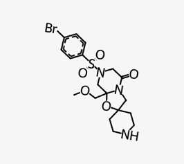 COCC12CN(S(=O)(=O)c3ccc(Br)cc3)CC(=O)N1CC1(CCNCC1)O2